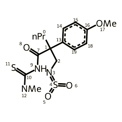 CCCC(CN=S(=O)=O)(C(=O)NC(=S)NC)c1ccc(OC)cc1